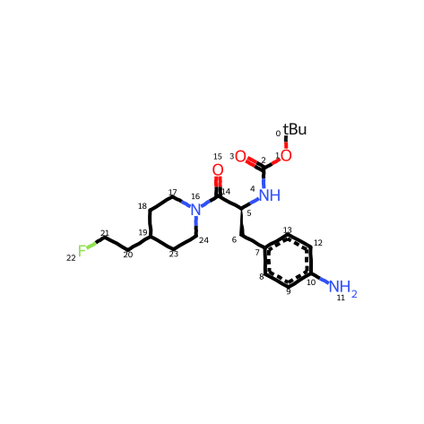 CC(C)(C)OC(=O)N[C@@H](Cc1ccc(N)cc1)C(=O)N1CCC(CCF)CC1